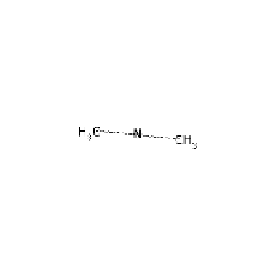 CCCCCCCCCCCCCCCCC[N]CCCCCCCCCCCCCCCCC